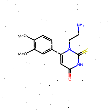 COc1ccc(-c2cc(=O)[nH]c(=S)n2CCN)cc1OC